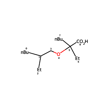 CCCCC(CC)COC(CC)(CCCC)C(=O)O